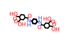 O=C(Nc1ccc(NC(=O)C2CCC(C(=O)O)C(C(=O)O)C2)cc1)C1CCC(C(=O)O)C(C(=O)O)C1